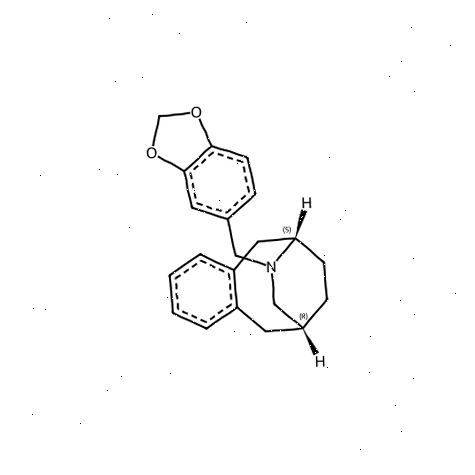 c1ccc2c(c1)C[C@H]1CC[C@@H](C2)N(Cc2ccc3c(c2)OCO3)C1